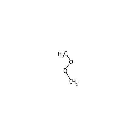 [CH2]OOC